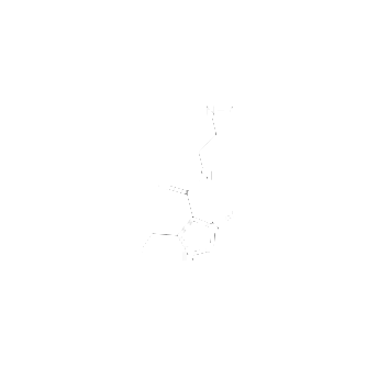 CC(=O)NCCNC(=O)c1c(CO)[nH]o[n+]1=O